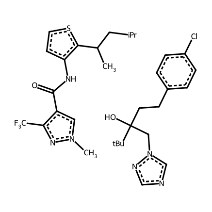 CC(C)(C)C(O)(CCc1ccc(Cl)cc1)Cn1cncn1.CC(C)CC(C)c1sccc1NC(=O)c1cn(C)nc1C(F)(F)F